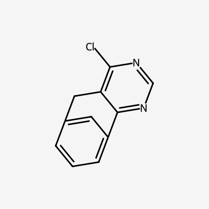 Clc1ncnc2c1Cc1cccc-2c1